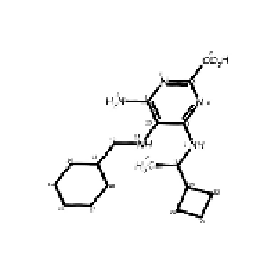 C[C@@H](Nc1nc(C(=O)O)nc(N)c1NCC1CCCCC1)C1CCC1